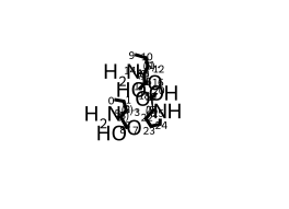 CC[C@H](C)[C@H](N)C(=O)O.CC[C@H](C)[C@H](N)C(=O)O.O=C(O)[C@@H]1CCCN1